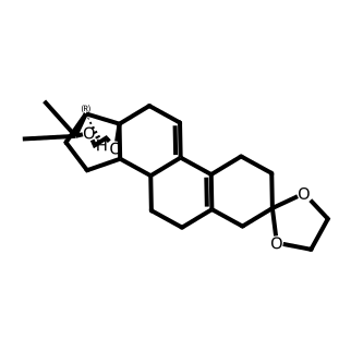 CC1(C)OCCOC23CC=C4C5=C(CCC4C2CC[C@H]13)CC1(CC5)OCCO1